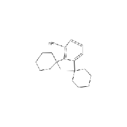 CCCc1cccc(C2(C)CCCCC2)c1C1(C)CCCCC1